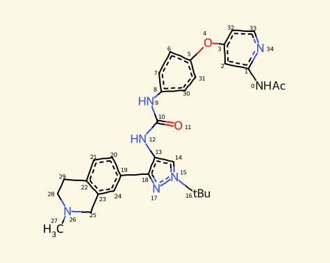 CC(=O)Nc1cc(Oc2ccc(NC(=O)Nc3cn(C(C)(C)C)nc3-c3ccc4c(c3)CN(C)CC4)cc2)ccn1